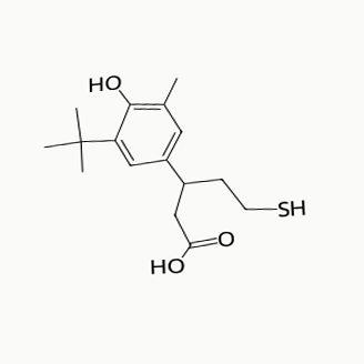 Cc1cc(C(CCS)CC(=O)O)cc(C(C)(C)C)c1O